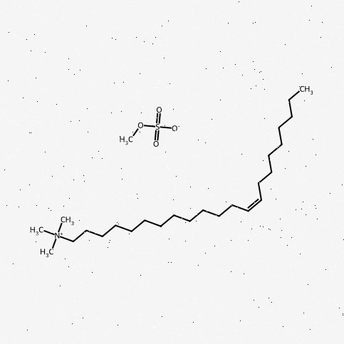 CCCCCCCC/C=C\CCCCCCCCCCCC[N+](C)(C)C.COS(=O)(=O)[O-]